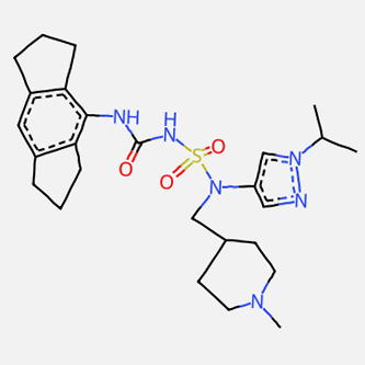 CC(C)n1cc(N(CC2CCN(C)CC2)S(=O)(=O)NC(=O)Nc2c3c(cc4c2CCC4)CCC3)cn1